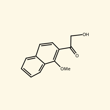 COc1c(C(=O)CO)ccc2ccccc12